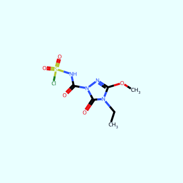 CCn1c(OC)nn(C(=O)NS(=O)(=O)Cl)c1=O